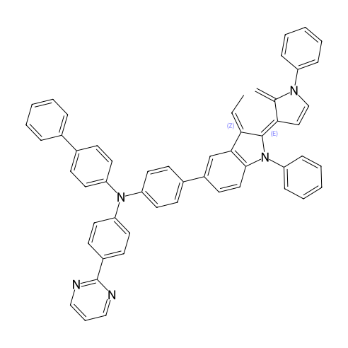 C=c1/c(=c2\c(=C/C)c3cc(-c4ccc(N(c5ccc(-c6ccccc6)cc5)c5ccc(-c6ncccn6)cc5)cc4)ccc3n2-c2ccccc2)ccn1-c1ccccc1